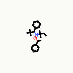 CCC(C)(C)N(OC(C)c1ccccc1)C(c1ccccc1)C(C)(C)C